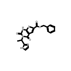 CC(c1ncc[nH]1)n1c(=O)[nH]c2sc(C(=O)OCc3ccccc3)cc2c1=O